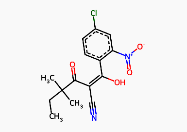 CCC(C)(C)C(=O)C(C#N)=C(O)c1ccc(Cl)cc1[N+](=O)[O-]